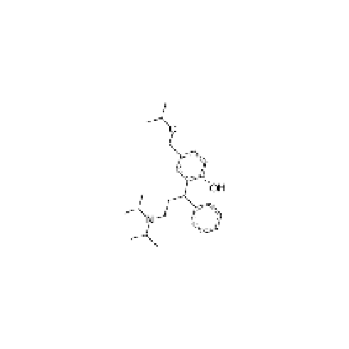 CC(C)OCc1ccc(O)c(C(CCN(C(C)C)C(C)C)c2ccccc2)c1